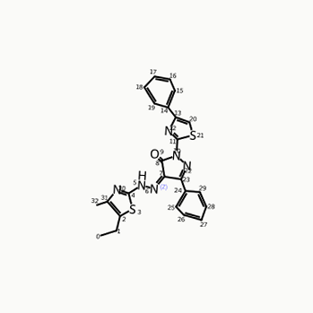 CCc1sc(N/N=C2\C(=O)N(c3nc(-c4ccccc4)cs3)N=C2c2ccccc2)nc1C